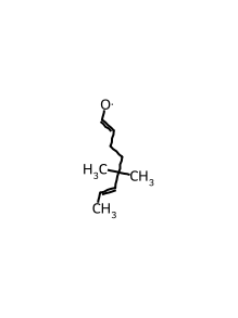 CC=CC(C)(C)CCC=C[O]